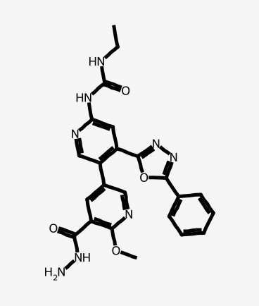 CCNC(=O)Nc1cc(-c2nnc(-c3ccccc3)o2)c(-c2cnc(OC)c(C(=O)NN)c2)cn1